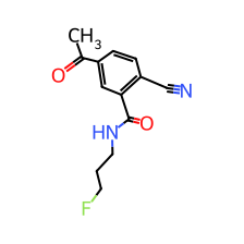 CC(=O)c1ccc(C#N)c(C(=O)NCCCF)c1